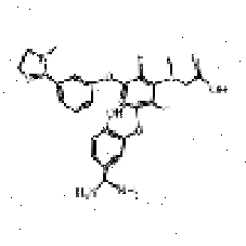 CN1CCN=C1c1cccc(Oc2nc(Oc3cc(C(N)N)ccc3O)c(F)c(N(C)CC(=O)O)c2F)c1